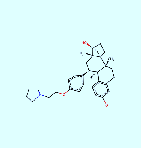 C[C@]12C[C@H](c3ccc(OCCN4CCCC4)cc3)[C@@H]3c4ccc(O)cc4CC[C@@]3(C)[C@@H]1CC[C@@H]2O